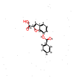 O=C(Oc1cccc2cc(C(=O)O)oc12)c1ccccc1